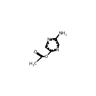 CC(=O)Oc1cnc(N)cn1